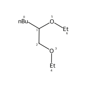 CCCCC(COCC)OCC